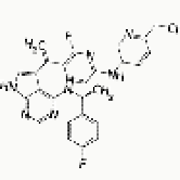 C=C(c1ccc(NC2C=CC(CC)=NC2)nc1F)c1c[nH]c2ncnc(N[C@@H](C)c3ccc(F)cc3)c12